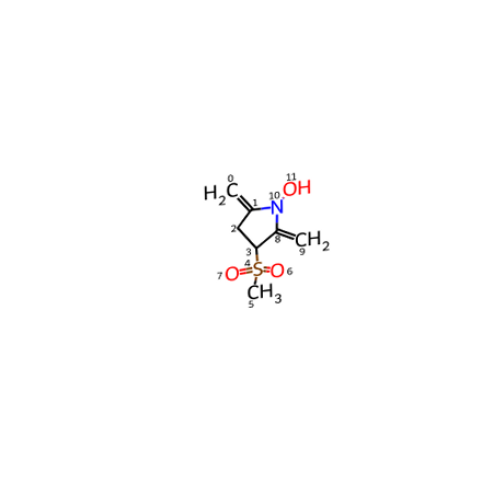 C=C1CC(S(C)(=O)=O)C(=C)N1O